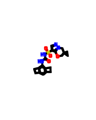 O=C(Nc1c2c(cc3c1CC3)CC2)NS(=O)(=O)c1cnn2c1OCC1(CC1)C2